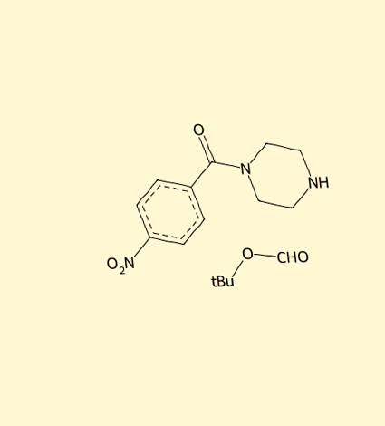 CC(C)(C)OC=O.O=C(c1ccc([N+](=O)[O-])cc1)N1CCNCC1